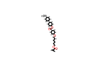 C=C(C)C(=O)OCCCCCCO[C@H]1CC[C@H](C(=O)OC2CCC([C@H]3CC[C@H](CCCC)CC3)CC2)CC1